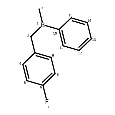 CB(Cc1ccc(F)cc1)c1ccccc1